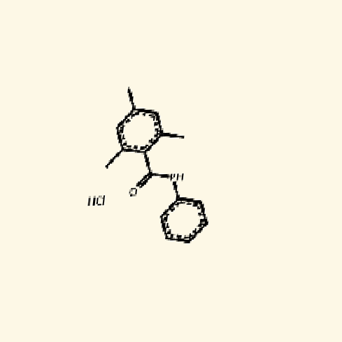 Cc1cc(C)c(C(=O)Pc2ccccc2)c(C)c1.Cl